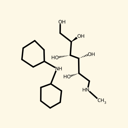 C1CCC(NC2CCCCC2)CC1.CNC[C@H](O)[C@@H](O)[C@H](O)[C@H](O)CO